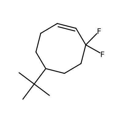 CC(C)(C)C1CC/C=C\C(F)(F)CC1